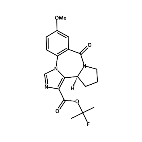 COc1ccc2c(c1)C(=O)N1CCC[C@H]1c1c(C(=O)OC(C)(C)F)ncn1-2